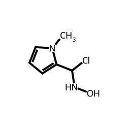 Cn1cccc1C(Cl)NO